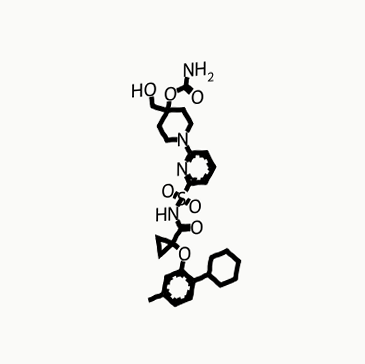 Cc1ccc(C2CCCCC2)c(OC2(C(=O)NS(=O)(=O)c3cccc(N4CCC(CO)(OC(N)=O)CC4)n3)CC2)c1